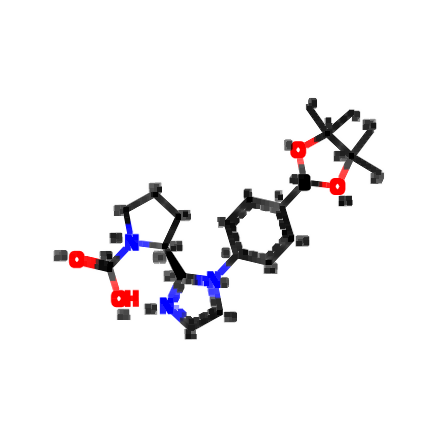 CC1(C)OB(c2ccc(-n3ccnc3[C@@H]3CCCN3C(=O)O)cc2)OC1(C)C